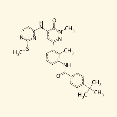 CSc1nccc(Nc2cc(-c3cccc(NC(=O)c4ccc(C(C)(C)C)cc4)c3C)nn(C)c2=O)n1